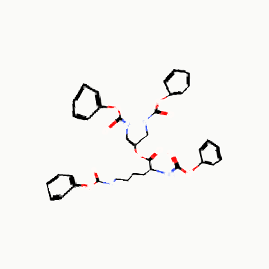 O=C(NCCCCC(NC(=O)Oc1ccccc1)C(=O)OC(CNC(=O)Oc1ccccc1)CNC(=O)Oc1ccccc1)Oc1ccccc1